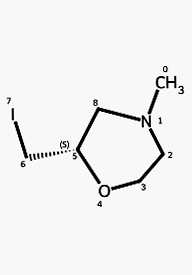 CN1CCO[C@H](CI)C1